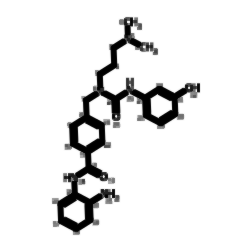 CN(C)CCCN(Cc1ccc(C(=O)Nc2ccccc2N)cc1)C(=O)Nc1cccc(O)c1